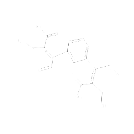 CCC(C(=O)O)=C(C=O)c1cccc(C(C=O)=C(CC)C(=O)O)c1